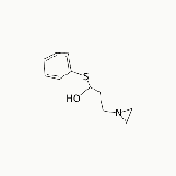 OC(CCN1CC1)Sc1ccccc1